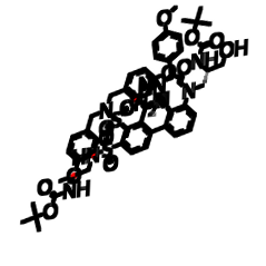 COc1ccc(CN(Cc2ccc(OC)cc2)S(=O)(=O)c2c(S(=O)(=O)NCCNC(=O)OC(C)(C)C)ccc(-c3cccc(N(C=O)C[C@@H](CO)NC(=O)OC(C)(C)C)c3N)c2-c2nnn(Cc3ccc(OC)cc3)n2)cc1